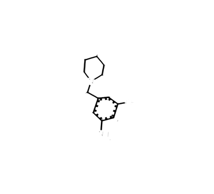 Nc1cc(CN2CCCCC2)cc(C(F)(F)F)c1